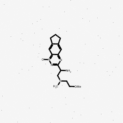 COCCN(C)CC(N)c1nc2cc3c(cc2[n+]([O-])n1)CCC3